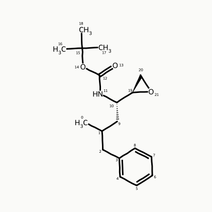 CC(Cc1ccccc1)C[C@H](NC(=O)OC(C)(C)C)[C@H]1CO1